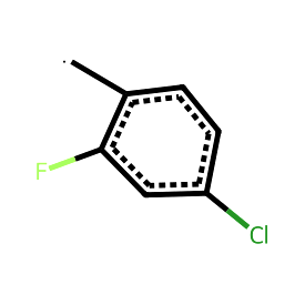 [CH2]c1ccc(Cl)cc1F